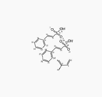 C=CC(=C)C.O=S(=O)(O)C=Cc1ccccc1.O=S(=O)(O)C=Cc1ccccc1